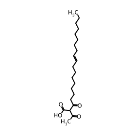 CCCCCCCCC=CCCCCCCCC(=O)C(C(C)=O)C(=O)O